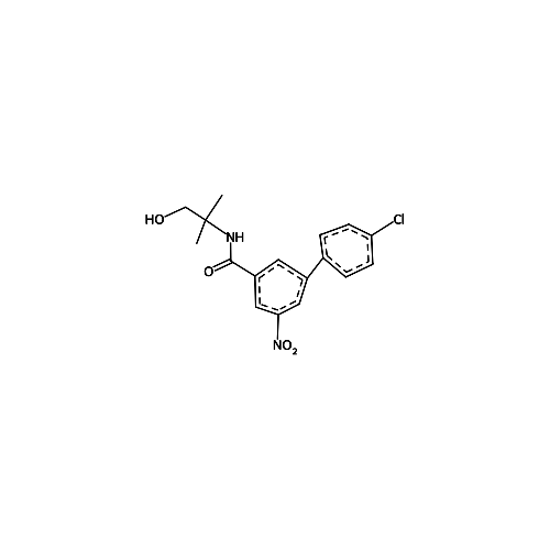 CC(C)(CO)NC(=O)c1cc(-c2ccc(Cl)cc2)cc([N+](=O)[O-])c1